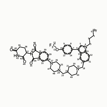 CC(C)CCCn1cc(-c2ccc(OC(F)(F)F)cc2)c2cc(CN3CCC(CN4CCN(c5ccc6c(c5)C(=O)N(C5CCC(=O)NC5=O)C6=O)CC4)CC3)ccc21